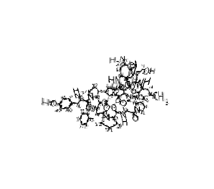 CC[C@H](C)[C@H](NC(=O)[C@@H]1CCCN1C(=O)CNC(=O)[C@@H]1CCCN1C(=O)[C@H](Cc1ccccc1)NC(=O)[C@@H]1CCCN1C(=O)[C@@H](N)Cc1ccc(O)cc1)C(=O)N1CCC[C@H]1C(=O)N[C@@H](CC(N)=O)C(=O)N[C@@H](CO)C(=O)N[C@@H](CC(C)C)C(=O)O